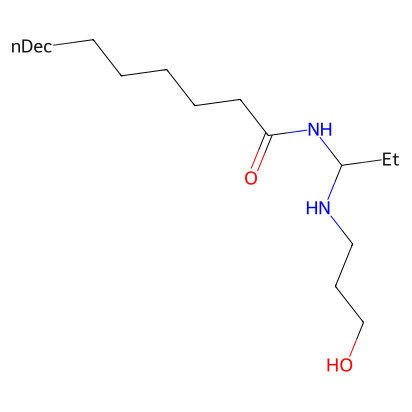 CCCCCCCCCCCCCCCC(=O)NC(CC)NCCCO